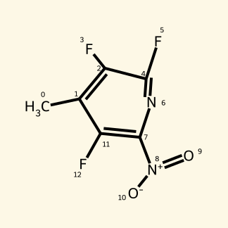 Cc1c(F)c(F)nc([N+](=O)[O-])c1F